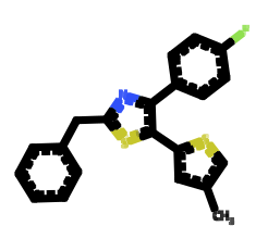 Cc1csc(-c2sc(Cc3ccccc3)nc2-c2ccc(F)cc2)c1